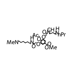 CCCNCCCN(C)C(=O)COc1cc(C(=O)OC)cc(OCC(=O)NCCCCCCNC)c1OCC(C)=O